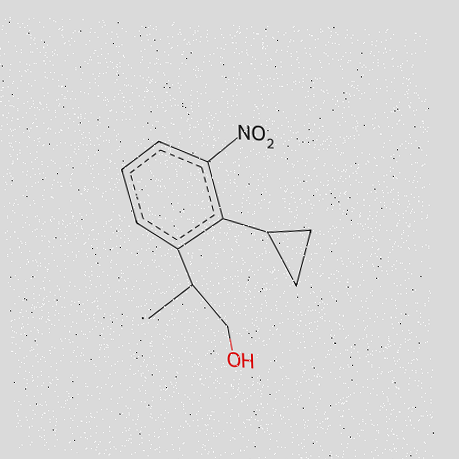 [CH2]C(CO)c1cccc([N+](=O)[O-])c1C1CC1